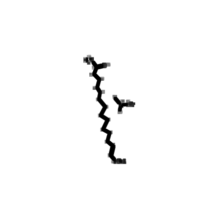 CCCCCCCCC=CCCCCCCCCCCCC(N)=O.CCCN(C)C